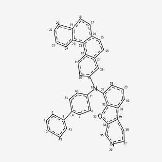 c1ccc(-c2ccc(N(c3ccc4c(ccc5ccc6ccccc6c54)c3)c3cccc4c3oc3cnccc34)cc2)cc1